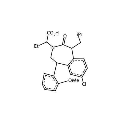 CCC(C(=O)O)N1CC(c2ccccc2OC)c2cc(Cl)ccc2C(CC(C)C)C1=O